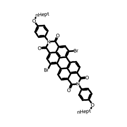 CCCCCCCOc1ccc(N2C(=O)c3ccc4c5c(Br)cc6c7c(cc(Br)c(c8ccc(c3c48)C2=O)c75)C(=O)N(c2ccc(OCCCCCCC)cc2)C6=O)cc1